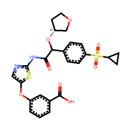 O=C(O)c1cccc(Oc2cnc(NC(=O)C(O[C@@H]3CCOC3)c3ccc(S(=O)(=O)C4CC4)cc3)s2)c1